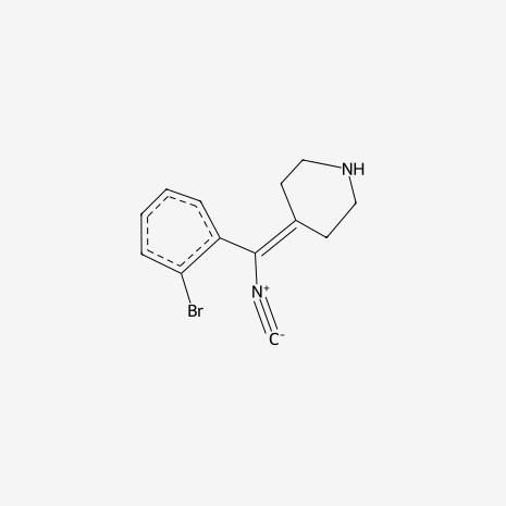 [C-]#[N+]C(=C1CCNCC1)c1ccccc1Br